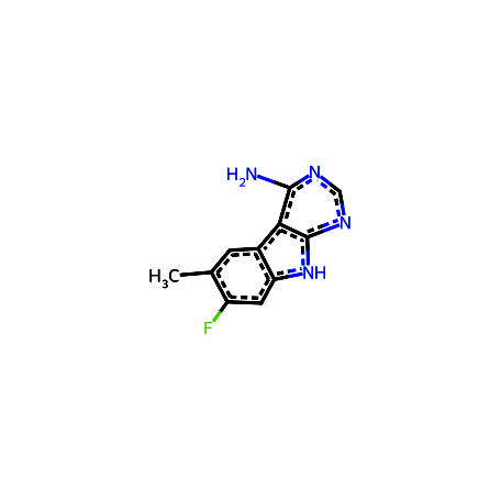 Cc1cc2c(cc1F)[nH]c1ncnc(N)c12